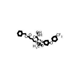 CC(C)N(CCCC(=O)OCc1ccccc1)[C@@H](CN(c1ccc(Oc2ccc(C(F)(F)F)cc2)cc1)S(C)(=O)=O)C(=O)NO